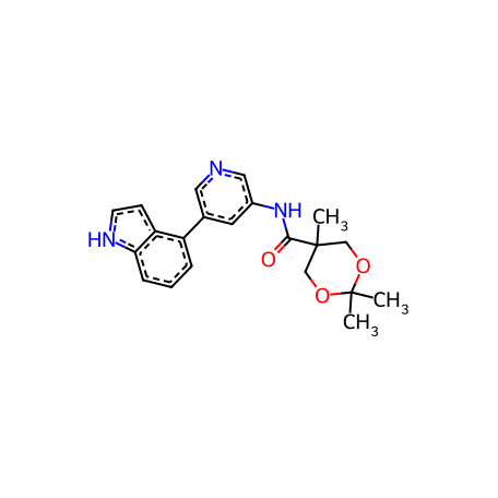 CC1(C)OCC(C)(C(=O)Nc2cncc(-c3cccc4[nH]ccc34)c2)CO1